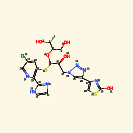 C[C@@H](O)C(CO)OC(Sc1cc(Cl)cnc1-c1ncc[nH]1)[C@@H](O)Cn1cc(-c2csc(O)n2)nn1